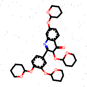 O=C1c2ccc(OC3CCCCO3)cc2N=C(c2ccc(OC3CCCCO3)c(OC3CCCCO3)c2)C1OC1CCCCO1